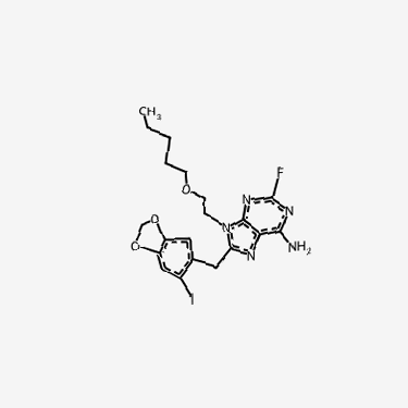 CCCCCOCCn1c(Cc2cc3c(cc2I)OCO3)nc2c(N)nc(F)nc21